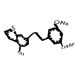 COc1cc(/C=C/c2cc(O)c3ccsc3c2)cc(OC)c1